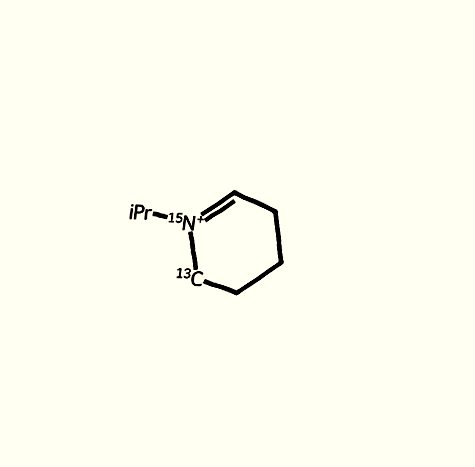 CC(C)[15N+]1=CCCC[13CH2]1